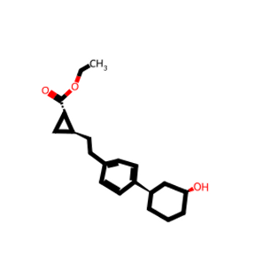 CCOC(=O)[C@H]1C[C@@H]1CCc1ccc([C@@H]2CCC[C@H](O)C2)cc1